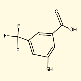 O=C(O)c1cc(S)cc(C(F)(F)F)c1